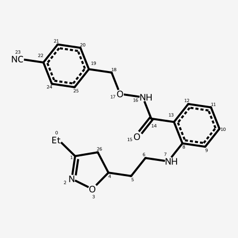 CCC1=NOC(CCNc2ccccc2C(=O)NOCc2ccc(C#N)cc2)C1